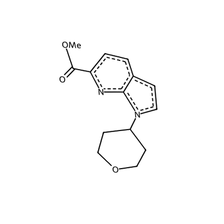 COC(=O)c1ccc2ccn(C3CCOCC3)c2n1